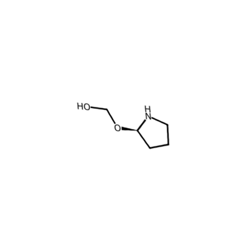 OCO[C@@H]1CCCN1